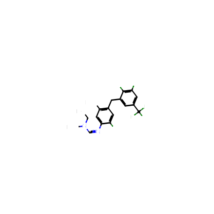 CCN(C)/C=N\c1cc(C)c(Cc2cc(C(F)(F)F)cc(Cl)c2F)cc1Cl